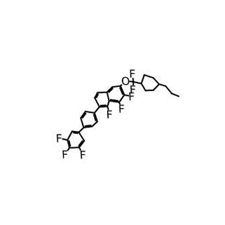 CCCC1CCC(C(F)(F)Oc2cc3ccc(-c4ccc(-c5cc(F)c(F)c(F)c5)cc4)c(F)c3c(F)c2F)CC1